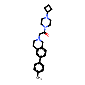 Cc1ccc(-c2ccc3c(c2)CCN(CC(=O)N2CCN(C4CCC4)CC2)C3)cc1